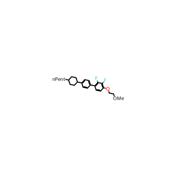 CCCCCC1CCC(c2ccc(-c3ccc(OCCOC)c(F)c3F)cc2)CC1